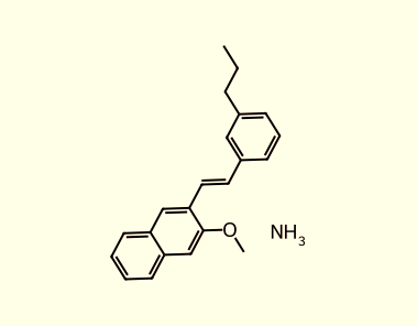 CCCc1cccc(C=Cc2cc3ccccc3cc2OC)c1.N